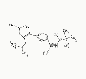 C/C(=N/[S+]([O-])C(C)(C)C)c1ccc(-c2ccc(Br)cc2CN(C)C)s1